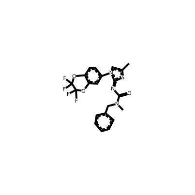 Cc1cn(-c2ccc3c(c2)OC(F)(F)C(F)(F)O3)c(=NC(=O)N(C)Cc2ccccc2)s1